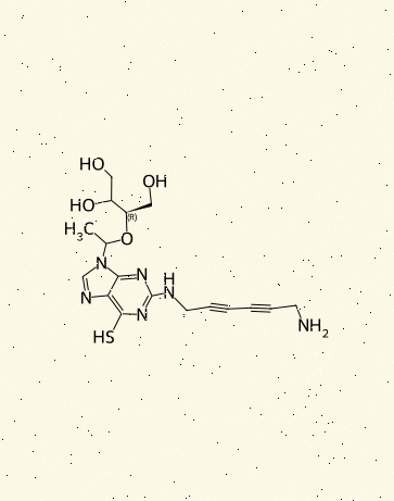 CC(O[C@H](CO)C(O)CO)n1cnc2c(S)nc(NCC#CC#CCN)nc21